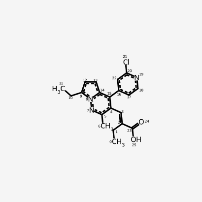 CC/C(=C\c1c(C)nn2c(CC)ccc2c1-c1ccnc(Cl)c1)C(=O)O